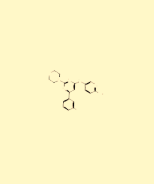 Oc1cccc(-c2cc(Nc3ccc(O)nc3)nc(N3CCOCC3)n2)c1